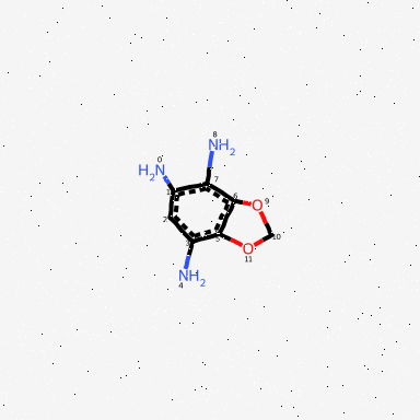 Nc1cc(N)c2c(c1N)OCO2